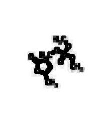 CC1COC(=O)O1.COP(=O)(OC)OC